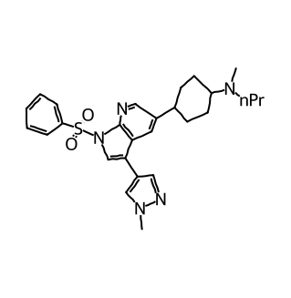 CCCN(C)C1CCC(c2cnc3c(c2)c(-c2cnn(C)c2)cn3S(=O)(=O)c2ccccc2)CC1